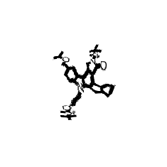 CC(C)OCc1ccc2c(c1)c1c3c(c4c(c1n2CCCO[Si](C)(C)C(C)(C)C)Cc1ccccc1-4)C(=O)N([Si](C)(C)C(C)(C)C)C3